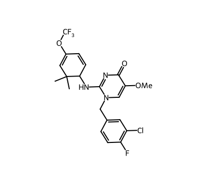 COc1cn(Cc2ccc(F)c(Cl)c2)c(NC2C=CC(OC(F)(F)F)=CC2(C)C)nc1=O